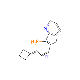 PC1=C(/C=C\C=C2CCC2)Cc2cccnc21